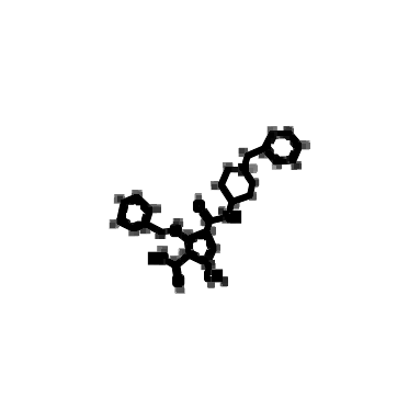 Cn1cc(C(=O)NC2CCN(Cc3ccccc3)CC2)c(OCc2ccccc2)c1C(=O)O